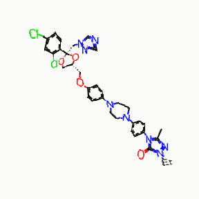 CCn1nc(C)n(-c2ccc(N3CCN(c4ccc(OC[C@@H]5CO[C@@](Cn6cncn6)(c6ccc(Cl)cc6Cl)O5)cc4)CC3)cc2)c1=O